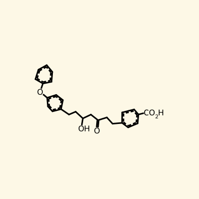 O=C(CCc1ccc(C(=O)O)cc1)CC(O)CCc1ccc(Oc2ccccc2)cc1